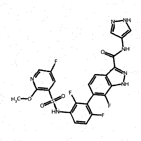 COc1ncc(F)cc1S(=O)(=O)Nc1ccc(F)c(-c2ccc3c(C(=O)Nc4cn[nH]c4)n[nH]c3c2F)c1F